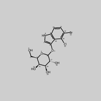 OC[C@H]1OC(Oc2c[nH]c3ccc(Br)c(Cl)c23)[C@H](O)[C@@H](O)[C@H]1O